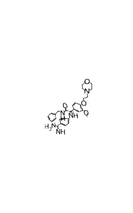 COc1cc([C@H](Nc2ccc(C(=N)N)cc2)C(=O)NCc2ccccc2)ccc1OCCN1CCOCC1